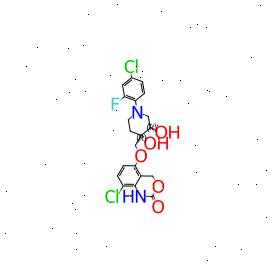 O=C1Nc2c(Cl)ccc(OC[C@]3(O)CCN(c4ccc(Cl)cc4F)C[C@H]3O)c2CO1